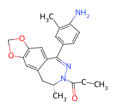 CCC(=O)N1N=C(c2ccc(N)c(C)c2)c2cc3c(cc2C[C@H]1C)OCO3